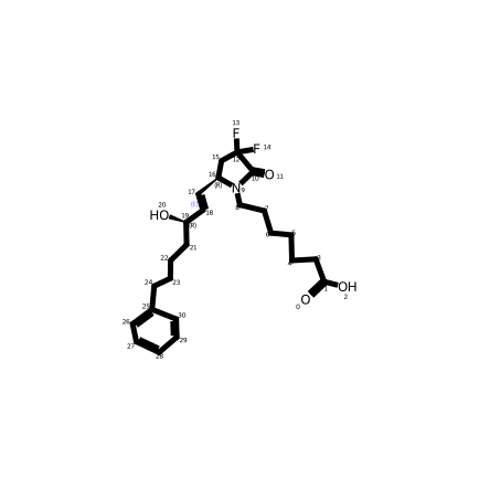 O=C(O)CCCCCCN1C(=O)C(F)(F)C[C@@H]1/C=C/[C@H](O)CCCCc1ccccc1